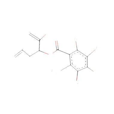 C=CCC(OC(=O)c1c(Br)c(Br)c(Br)c(Br)c1C(=O)O)C(=C)O